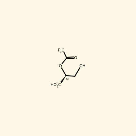 O=C(O)[C@H](CO)OC(=O)C(F)(F)F